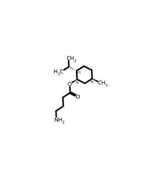 CC(C)[C@@H]1CC[C@@H](C)C[C@H]1OC(=O)CCCN